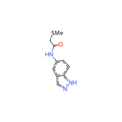 CSCC(=O)Nc1ccc2[nH]ncc2c1